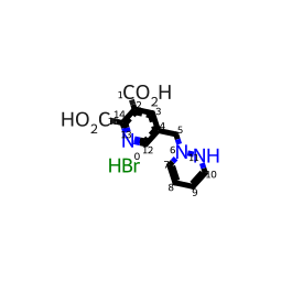 Br.O=C(O)c1cc(CN2C=CC=CN2)cnc1C(=O)O